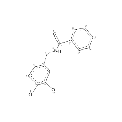 O=C(NCc1ccc(Cl)c(Cl)c1)c1ccccc1